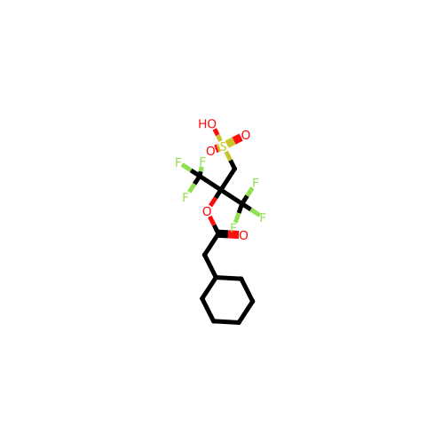 O=C(CC1CCCCC1)OC(CS(=O)(=O)O)(C(F)(F)F)C(F)(F)F